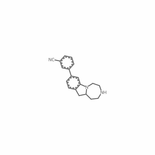 N#Cc1cccc(-c2ccc3c(c2)N2CCNCCC2C3)c1